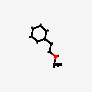 C[CH]OC(=O)OCCC1CCCCC1